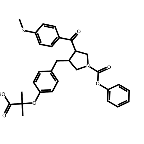 CSc1ccc(C(=O)C2CN(C(=O)Oc3ccccc3)CC2Cc2ccc(OC(C)(C)C(=O)O)cc2)cc1